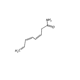 C=C/C=C\C=C/CC(N)=O